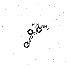 Nc1ccc(Oc2ccccc2OCCN2CCCCC2)cc1N